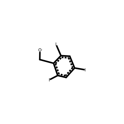 [O]Cc1c(I)cc(I)cc1I